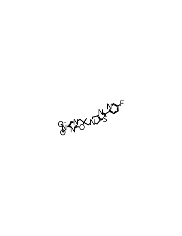 CC1(CN2Cc3nc(-c4ccc(F)cn4)sc3C2)Cn2cc([N+](=O)[O-])nc2O1